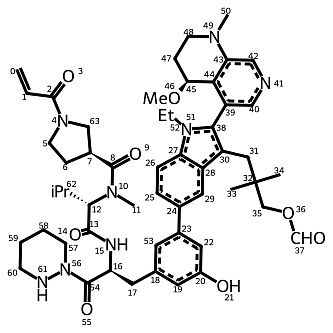 C=CC(=O)N1CC[C@H](C(=O)N(C)[C@H](C(=O)N[C@@H](Cc2cc(O)cc(-c3ccc4c(c3)c(CC(C)(C)COC=O)c(-c3cncc5c3[C@@H](OC)CCN5C)n4CC)c2)C(=O)N2CCCCN2)C(C)C)C1